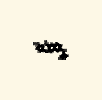 Cc1nnc(Nc2nc3cc(Nc4cn[nH]c4)cnc3cc2C)s1